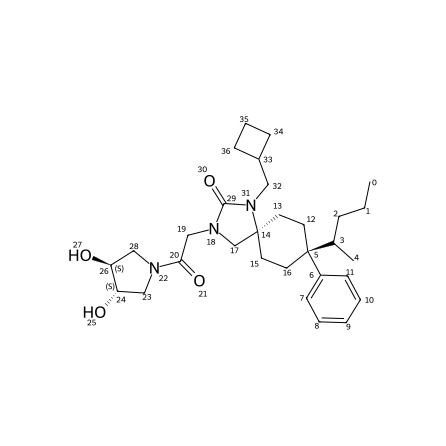 CCCC(C)[C@]1(c2ccccc2)CC[C@]2(CC1)CN(CC(=O)N1C[C@H](O)[C@@H](O)C1)C(=O)N2CC1CCC1